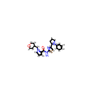 O=C(Nc1nc(C2CCCN2c2ccccc2)cs1)c1cccn1CC1CCOCC1